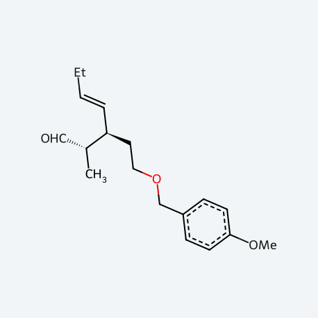 CC/C=C/[C@@H](CCOCc1ccc(OC)cc1)[C@H](C)C=O